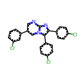 Clc1ccc(-c2nc3ncc(-c4cccc(Cl)c4)cn3c2-c2ccc(Cl)cc2)cc1